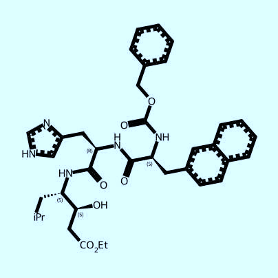 CCOC(=O)C[C@H](O)[C@H](CC(C)C)NC(=O)[C@@H](Cc1c[nH]cn1)NC(=O)[C@H](Cc1ccc2ccccc2c1)NC(=O)OCc1ccccc1